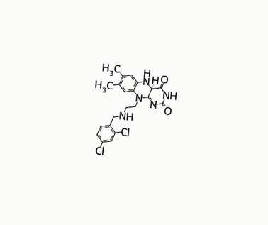 Cc1cc2c(cc1C)N(CCNCc1ccc(Cl)cc1Cl)C1=NC(=O)NC(=O)[C@@H]1N2